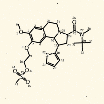 COc1cc2c(cc1OCCOS(C)(=O)=O)C1C(c3cccs3)CC(C(=O)N(C)C(C)(C)C)N1CC2